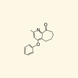 Cc1cc(Oc2ccccc2)c2c(n1)C(=O)CCCC2